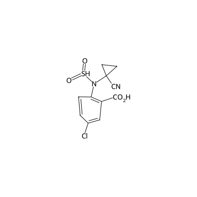 N#CC1(N(c2ccc(Cl)cc2C(=O)O)[SH](=O)=O)CC1